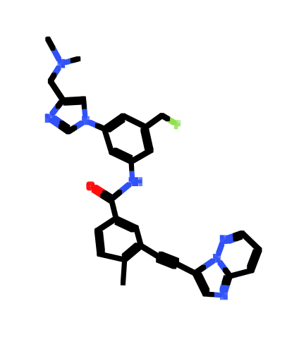 Cc1ccc(C(=O)Nc2cc(CF)cc(-n3cnc(CN(C)C)c3)c2)cc1C#Cc1cnc2cccnn12